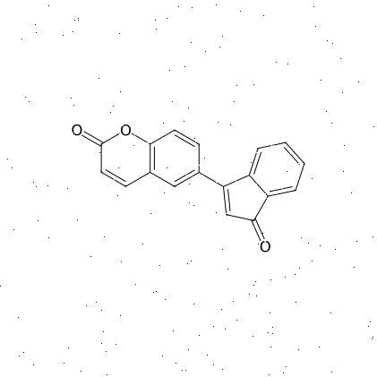 O=C1C=C(c2ccc3oc(=O)ccc3c2)c2ccccc21